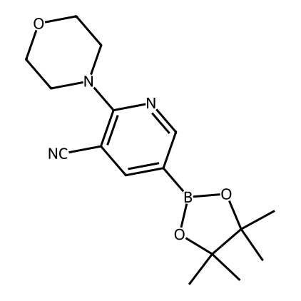 CC1(C)OB(c2cnc(N3CCOCC3)c(C#N)c2)OC1(C)C